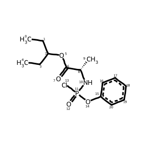 CCC(CC)OC(=O)[C@H](C)NP(=O)(Cl)Oc1ccccc1